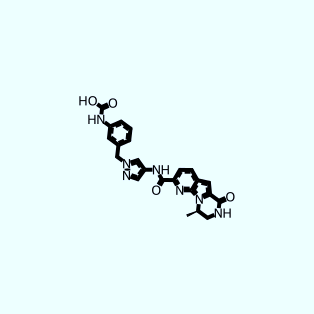 C[C@@H]1CNC(=O)c2cc3ccc(C(=O)Nc4cnn(Cc5cccc(NC(=O)O)c5)c4)nc3n21